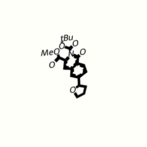 COC(=O)c1cc2cc(C3CCCO3)ccc2c(=O)n1C(=O)OC(C)(C)C